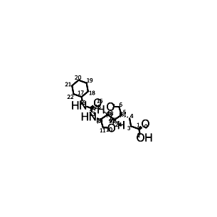 O=C(O)CC[C@H]1CO[C@H]2[C@@H]1OC[C@@H]2NC(=O)NC1CCCCC1